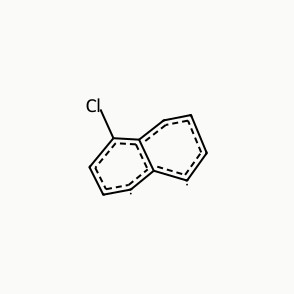 Clc1cc[c]c2[c]cccc12